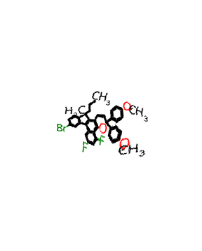 CCCCC1(C)c2ccc(Br)cc2-c2c1c1c(c3c(F)cc(F)cc23)OC(c2ccc(OC)cc2)(c2ccc(OC)cc2)C=C1